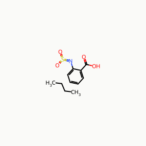 CCCC.O=C(O)c1ccccc1N=S(=O)=O